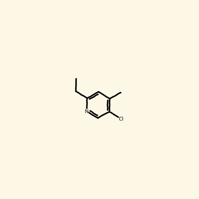 CCc1cc(C)c(Cl)cn1